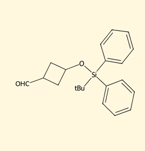 CC(C)(C)[Si](OC1CC(C=O)C1)(c1ccccc1)c1ccccc1